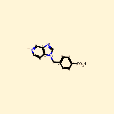 O=C(O)c1ccc(Cn2cnc3cnccc32)cc1